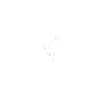 [Cl-].[Cl-].[NH4+].[NH4+].[Ni]